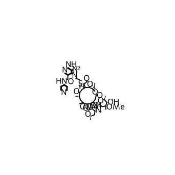 CO[C@]1(C)C[C@@H](C)C(=O)[C@H](C)[C@H]2[C@H](SCCn3cnc4c(N)ncc(C(=O)Nc5ccncc5)c43)C(=O)O[C@]2(C)[C@@H](I)OC(=O)[C@H](C)[C@@H](O[C@H]2C[C@@](C)(OC)[C@@H](O)[C@H](C)O2)[C@H](C)[C@H]1O[C@@H]1O[C@H](C)C[C@H](N(C)C)[C@H]1O